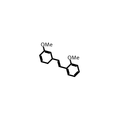 COC1=CC(/C=C/c2ccccc2OC)CC=C1